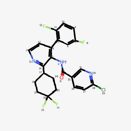 O=C(Nc1c(-c2cc(F)ccc2F)ccnc1C1CCC(F)(F)CC1)c1ccc(Cl)nc1